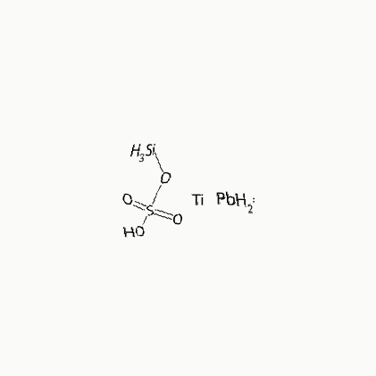 O=S(=O)(O)O[SiH3].[PbH2].[Ti]